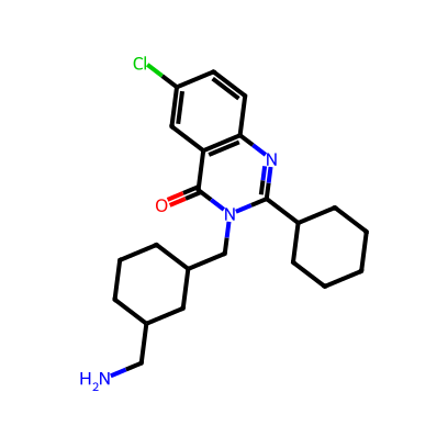 NCC1CCCC(Cn2c(C3CCCCC3)nc3ccc(Cl)cc3c2=O)C1